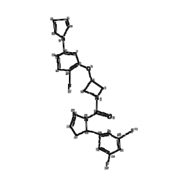 O=C(N1CC(Oc2cc(-n3cccc3)ncc2F)C1)N1N=CCC1c1cc(F)cc(F)c1